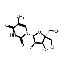 Cc1cn([C@@H]2O[C@@](CO)(CCl)[C@@H](O)[C@H]2F)c(=O)[nH]c1=O